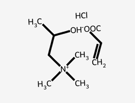 C=CC(=O)[O-].CC(O)C[N+](C)(C)C.Cl